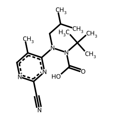 Cc1cnc(C#N)nc1N(CC(C)C)N(C(=O)O)C(C)(C)C